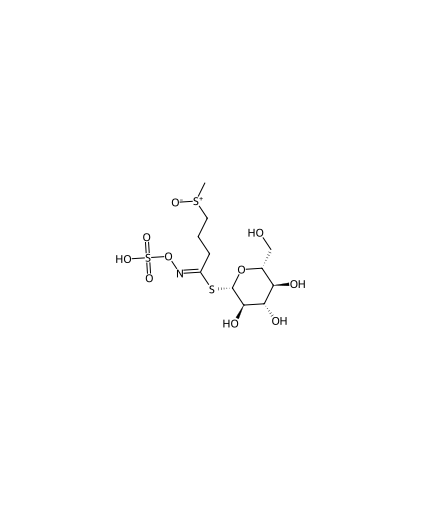 C[S+]([O-])CCC/C(=N\OS(=O)(=O)O)S[C@@H]1O[C@H](CO)[C@@H](O)[C@H](O)[C@H]1O